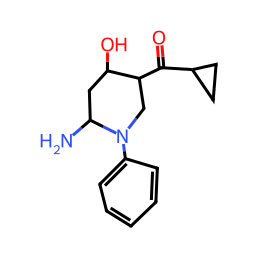 NC1CC(O)C(C(=O)C2CC2)CN1c1ccccc1